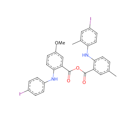 COc1ccc(Nc2ccc(I)cc2)c(C(=O)OC(=O)c2cc(C)ccc2Nc2ccc(I)cc2C)c1